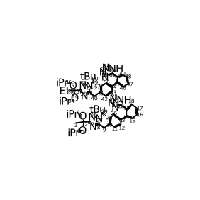 CC(C)OC(C)(OC(C)C)c1nc(Cc2ccc(-c3ccccc3-c3nnn[nH]3)cc2)n(CC(C)(C)C)n1.CCC(OC(C)C)(OC(C)C)c1nc(Cc2ccc(-c3ccccc3-c3nnn[nH]3)cc2)n(CC(C)(C)C)n1